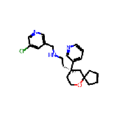 Clc1cncc(CNCC[C@@]2(c3cccnc3)CCOC3(CCCC3)C2)c1